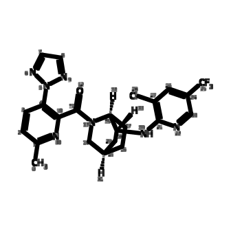 Cc1ccc(-n2nccn2)c(C(=O)N2C[C@@H]3CC[C@H]2[C@H](Nc2ncc(C(F)(F)F)cc2Cl)C3)n1